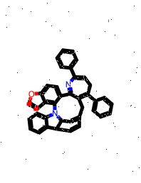 C1=CC2c3ccccc3N3c4c(ccc5oc6ccccc6c45)C4=NC(c5ccccc5)=CCC(c5ccccc5)=C4CC1=CC23